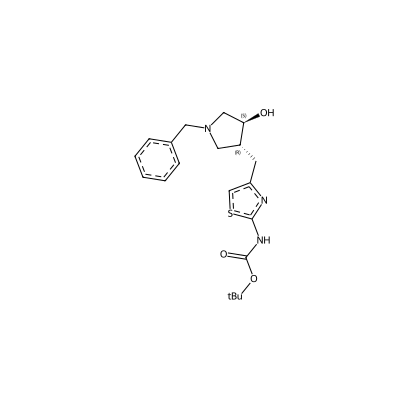 CC(C)(C)OC(=O)Nc1nc(C[C@@H]2CN(Cc3ccccc3)C[C@H]2O)cs1